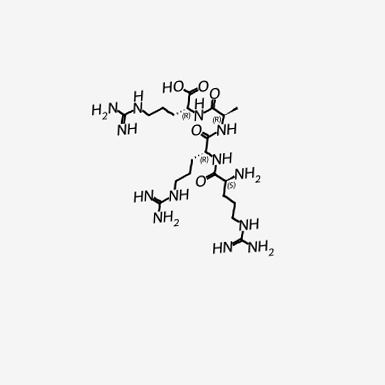 C[C@@H](NC(=O)[C@@H](CCCNC(=N)N)NC(=O)[C@@H](N)CCCNC(=N)N)C(=O)N[C@H](CCCNC(=N)N)C(=O)O